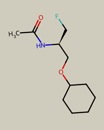 CC(=O)N[C@@H](CF)COC1CCCCC1